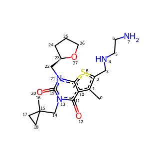 Cc1c(CNCCN)sc2c1c(=O)n(CC1(C)CC1)c(=O)n2C[C@H]1CCCO1